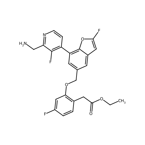 CCOC(=O)Cc1ccc(F)cc1OCc1cc(-c2ccnc(CN)c2F)c2oc(F)cc2c1